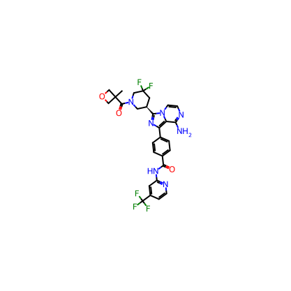 CC1(C(=O)N2C[C@H](c3nc(-c4ccc(C(=O)Nc5cc(C(F)(F)F)ccn5)cc4)c4c(N)nccn34)CC(F)(F)C2)COC1